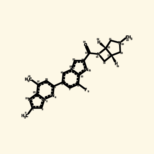 Cc1cn2nc(-c3cc(F)c4nc(C(=O)N5C[C@H]6CN(C)C[C@H]65)cn4c3)cc(C)c2n1